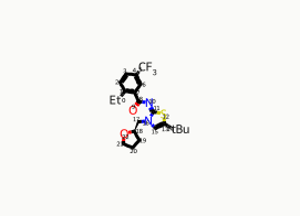 CCc1ccc(C(F)(F)F)cc1C(=O)N=c1sc(C(C)(C)C)cn1C[C@H]1CCCO1